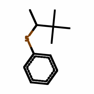 CC(Sc1ccccc1)C(C)(C)C